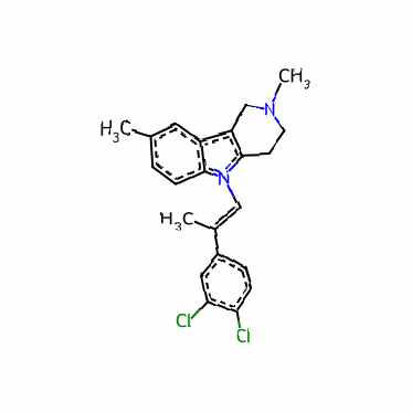 CC(=Cn1c2c(c3cc(C)ccc31)CN(C)CC2)c1ccc(Cl)c(Cl)c1